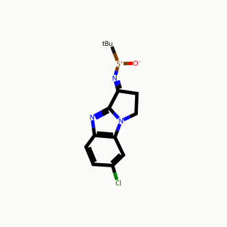 CC(C)(C)[S+]([O-])/N=C1\CCn2c1nc1ccc(Cl)cc12